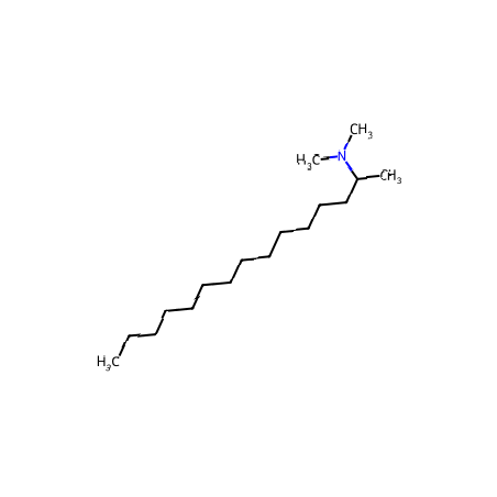 CCCCCCCCCCCCCC(C)N(C)C